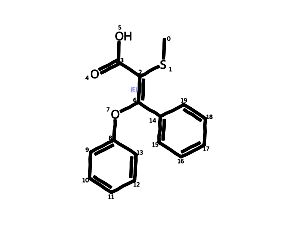 CS/C(C(=O)O)=C(/Oc1ccccc1)c1ccccc1